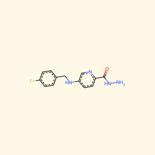 NNC(=O)c1ccc(NCc2ccc(F)cc2)cn1